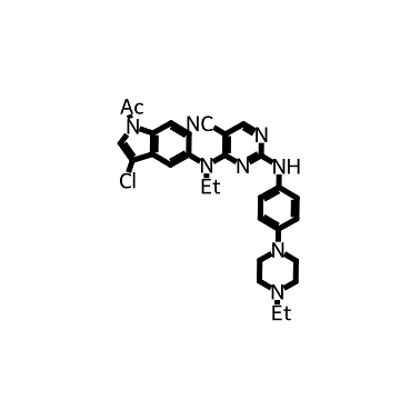 CCN1CCN(c2ccc(Nc3ncc(C#N)c(N(CC)c4ccc5c(c4)c(Cl)cn5C(C)=O)n3)cc2)CC1